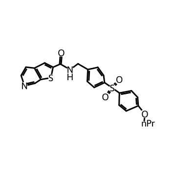 CCCOc1ccc(S(=O)(=O)c2ccc(CNC(=O)c3cc4ccncc4s3)cc2)cc1